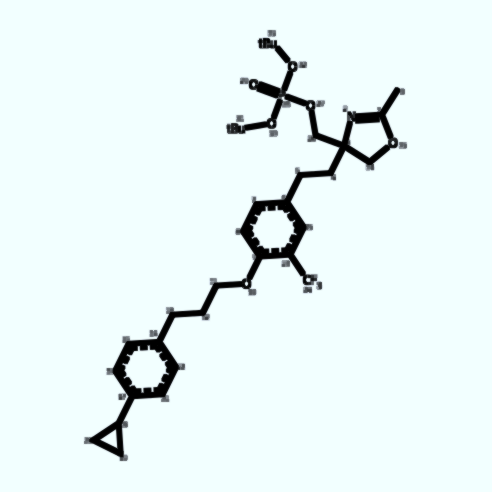 CC1=NC(CCc2ccc(OCCCc3ccc(C4CC4)cc3)c(C(F)(F)F)c2)(COP(=O)(OC(C)(C)C)OC(C)(C)C)CO1